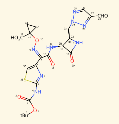 CC(C)(C)OC(=O)Nc1nc(C(=NOC2(C(=O)O)CC2)C(=O)N[C@@H]2C(=O)N[C@@H]2Cn2ncc(C=O)n2)cs1